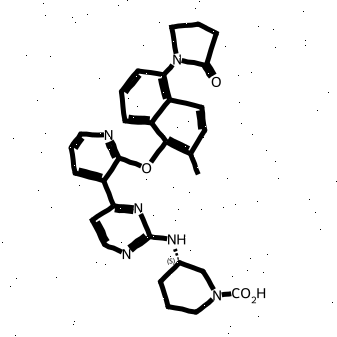 Cc1ccc2c(N3CCCC3=O)cccc2c1Oc1ncccc1-c1ccnc(N[C@H]2CCCN(C(=O)O)C2)n1